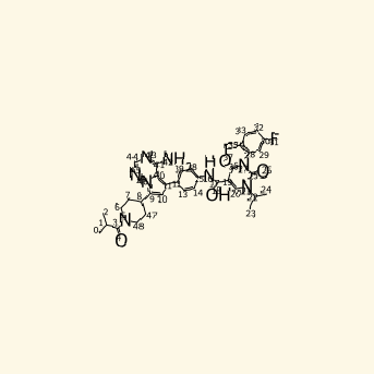 CC(C)C(=O)N1CCC(c2cc(-c3ccc(NC(O)c4cn(C(C)C)c(=O)n(-c5cc(F)ccc5F)c4=O)cc3)c3c(N)ncnn23)CC1